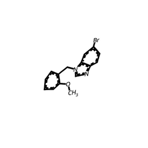 COc1ccccc1Cn1cnc2ccc(Br)cc21